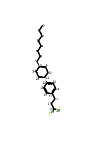 CCCCCCCC[C@H]1CC[C@H](c2ccc(CCC(F)F)cc2)CC1